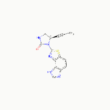 CC#C[C@@H]1CNC(=O)N1c1nc2c(ccc3nc[nH]c32)s1